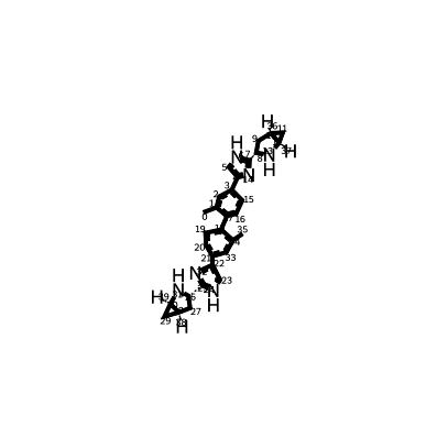 Cc1cc(-c2c[nH]c([C@@H]3C[C@H]4C[C@H]4N3)n2)ccc1-c1ccc(-c2c[nH]c([C@@H]3C[C@H]4C[C@H]4N3)n2)cc1C